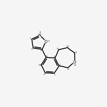 c1cc2c(c(-c3ccno3)c1)CCCOC2